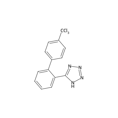 ClC(Cl)(Cl)c1ccc(-c2ccccc2-c2nnn[nH]2)cc1